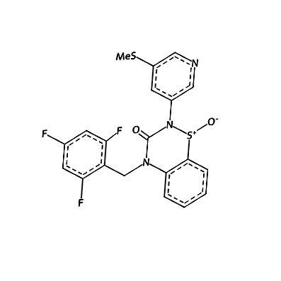 CSc1cncc(N2C(=O)N(Cc3c(F)cc(F)cc3F)c3ccccc3[S+]2[O-])c1